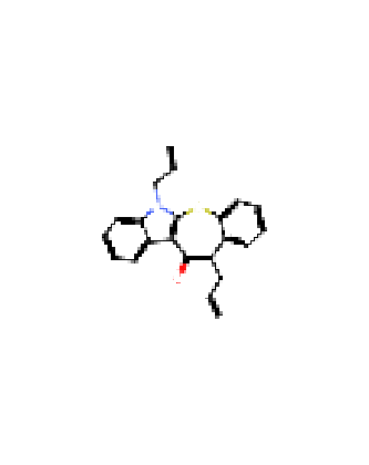 C=CCC1C(=O)c2c(n(CC=C)c3ccccc23)Sc2ccccc21